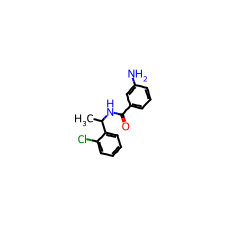 CC(NC(=O)c1cccc(N)c1)c1ccccc1Cl